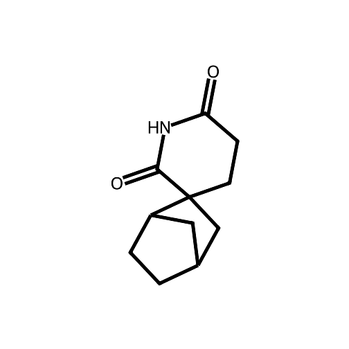 O=C1CCC2(CC3CCC2C3)C(=O)N1